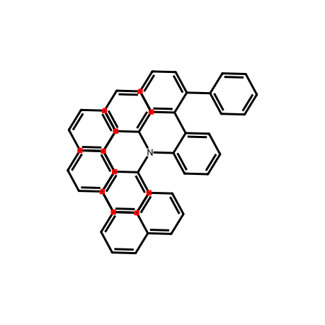 c1ccc(-c2ccccc2-c2ccccc2N(c2ccccc2-c2ccccc2)c2ccccc2-c2cccc(-c3cccc4ccccc34)c2)cc1